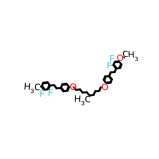 CCOc1ccc(CCc2ccc(OCCCCC(C)CCCCOc3ccc(CCc4ccc(C)c(F)c4F)cc3)cc2)c(F)c1F